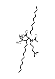 CCCCCCCCCCC(C(=O)O)[C@@](CCCCCCCCCC)(C(=O)O)N(CCCN(C)C)C(C)=O